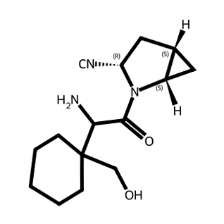 [C-]#[N+][C@@H]1C[C@@H]2C[C@@H]2N1C(=O)C(N)C1(CO)CCCCC1